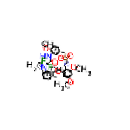 COc1cc(OC)c(/C=C/S(=O)(=O)Cc2ccc(OC)c(NC(=O)C(F)(F)N(C)c3ccccc3C)c2)c(OC)c1